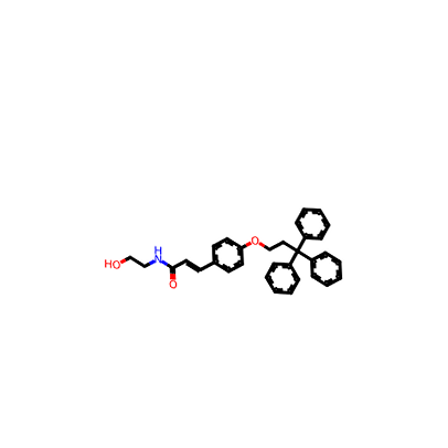 O=C(C=Cc1ccc(OCCC(c2ccccc2)(c2ccccc2)c2ccccc2)cc1)NCCO